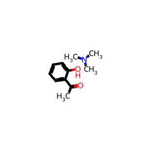 CC(=O)c1ccccc1O.CN(C)C